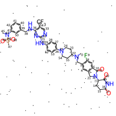 CN(Cc1cc2c(cc1F)C(=O)N(C1CCC(=O)NC1=O)C2)C1CCN(c2ccc(Nc3ncc(C(F)(F)F)c(NCc4cccc(N(C)S(C)(=O)=O)c4)n3)cc2)CC1